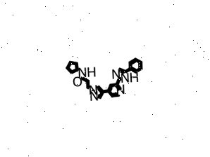 O=C(CCn1cc(-c2ccnc(-c3ncc(-c4ccccc4)[nH]3)c2)cn1)NC1CCCC1